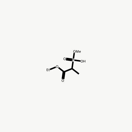 CCOC(=O)C(C)P(=O)(O)OC